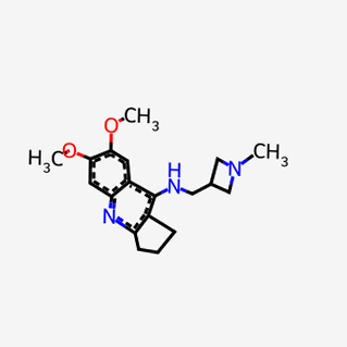 COc1cc2nc3c(c(NCC4CN(C)C4)c2cc1OC)CCC3